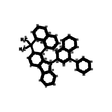 CC1(C)c2ccc3c4ccccc4n(-c4nc(-c5ccccc5)c5ccccc5n4)c3c2-c2cccc3cccc1c23